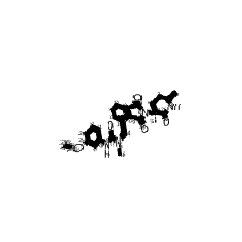 C=C1CC[C@](C)(N2C(=O)c3cccc(CN(C)C(=O)Nc4cccc(OC)c4)c3C2=O)C(=O)N1